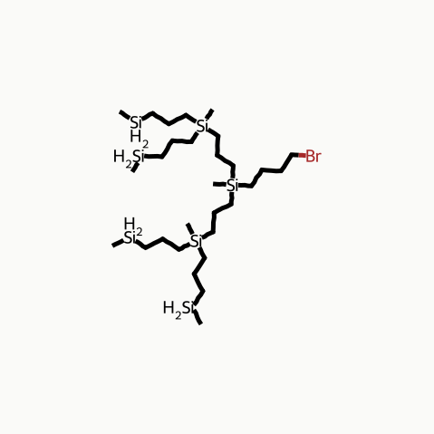 C[SiH2]CCC[Si](C)(CCC[SiH2]C)CCC[Si](C)(CCCCBr)CCC[Si](C)(CCC[SiH2]C)CCC[SiH2]C